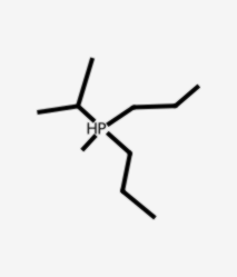 CCC[PH](C)(CCC)C(C)C